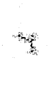 CC(C)(C)OC(=O)CC[C@H](OC(=O)NCC(=O)OC(C)(C)C)C(=O)OC(C)(C)C